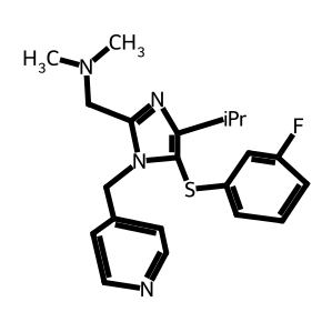 CC(C)c1nc(CN(C)C)n(Cc2ccncc2)c1Sc1cccc(F)c1